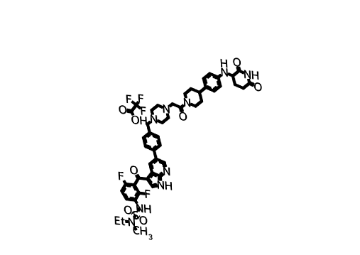 CCN(C)S(=O)(=O)Nc1ccc(F)c(C(=O)c2c[nH]c3ncc(-c4ccc(CN5CCN(CC(=O)N6CCC(c7ccc(NC8CCC(=O)NC8=O)cc7)CC6)CC5)cc4)cc23)c1F.O=C(O)C(F)(F)F